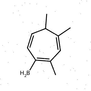 BC1=C(C)C=C(C)C(C)C=C1